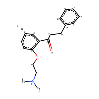 CCN(CC)CCOc1ccccc1C(=O)CCc1ccccc1.Cl